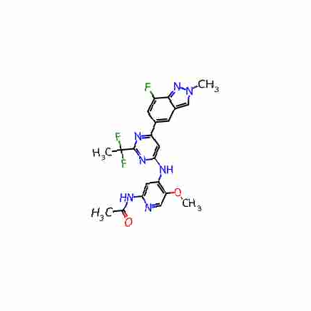 COc1cnc(NC(C)=O)cc1Nc1cc(-c2cc(F)c3nn(C)cc3c2)nc(C(C)(F)F)n1